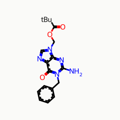 CC(C)(C)C(=O)OCn1cnc2c(=O)n(Cc3ccccc3)c(N)nc21